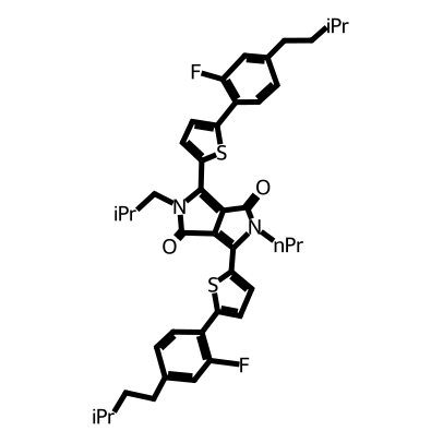 CCCN1C(=O)C2=C(c3ccc(-c4ccc(CCC(C)C)cc4F)s3)N(CC(C)C)C(=O)C2=C1c1ccc(-c2ccc(CCC(C)C)cc2F)s1